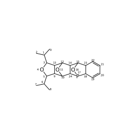 CC(C)C1OC(C(C)C)C2C3OC(C12)C1C2OP(C4C=CC=CC24)C31